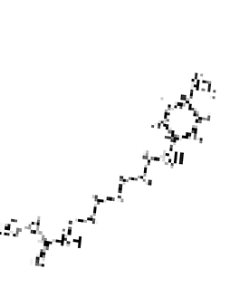 CC(C)(C)OC(=O)NCCCCCCCNc1ccc([N+](=O)[O-])cc1